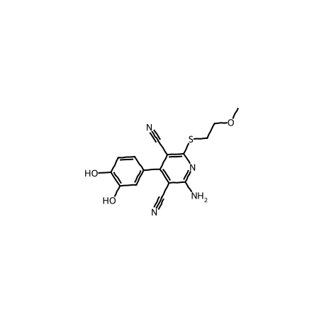 COCCSc1nc(N)c(C#N)c(-c2ccc(O)c(O)c2)c1C#N